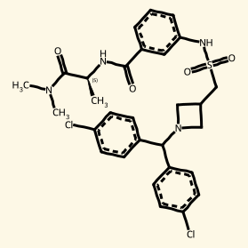 C[C@H](NC(=O)c1cccc(NS(=O)(=O)CC2CN(C(c3ccc(Cl)cc3)c3ccc(Cl)cc3)C2)c1)C(=O)N(C)C